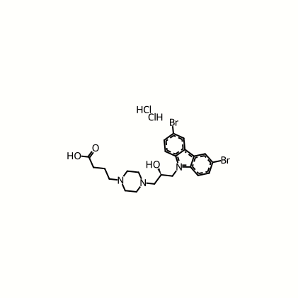 Cl.Cl.O=C(O)CCCN1CCN(C[C@@H](O)Cn2c3ccc(Br)cc3c3cc(Br)ccc32)CC1